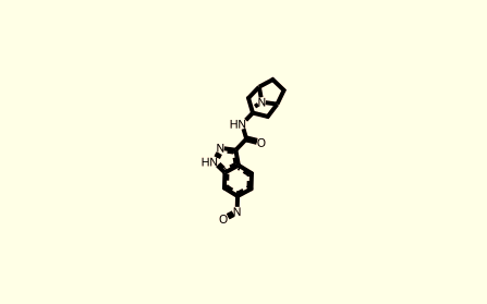 CN1C2CCC1CC(NC(=O)c1n[nH]c3cc(N=O)ccc13)C2